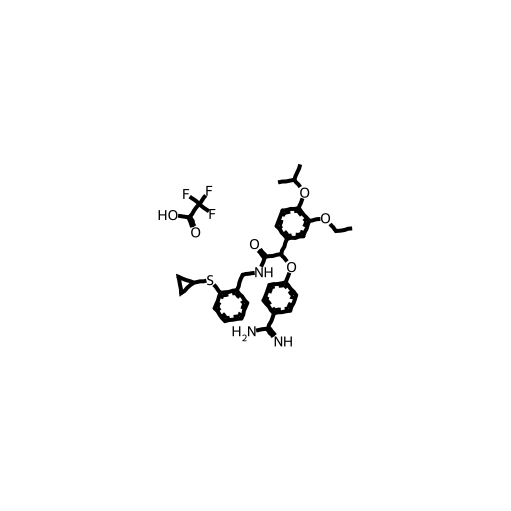 CCOc1cc(C(Oc2ccc(C(=N)N)cc2)C(=O)NCc2ccccc2SC2CC2)ccc1OC(C)C.O=C(O)C(F)(F)F